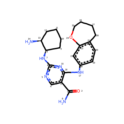 NC(=O)c1cnc(N[C@@H]2CCCC[C@@H]2N)nc1Nc1ccc2c(c1)OCCCC2